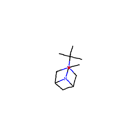 CCN1C2CC1CN(C(C)(C)C)C2